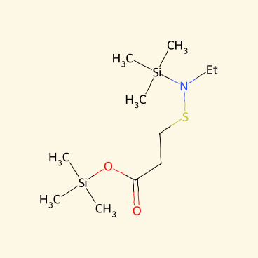 CCN(SCCC(=O)O[Si](C)(C)C)[Si](C)(C)C